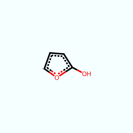 Oc1cc[c]o1